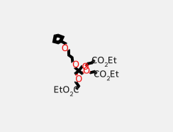 CCOC(=O)CCOCC(COCCCCOCc1ccccc1)(COCCC(=O)OCC)COCCC(=O)OCC